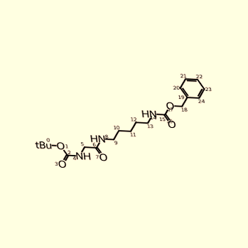 CC(C)(C)OC(=O)NCC(=O)NCCCCCNC(=O)OCc1ccccc1